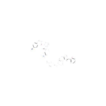 CC(C)[C@@H](C(=O)N1C[C@H](O)C[C@H]1C(=O)N[C@@H](C)c1ccc(C#N)cc1)c1cc(OCCN2CCC(CN3CCN4c5cc(-c6ccccc6O)nnc5NC[C@H]4C3)CC2)no1